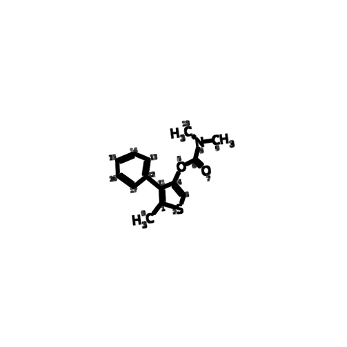 Cc1scc(OC(=O)N(C)C)c1-c1ccccc1